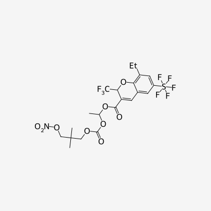 CCc1cc(S(F)(F)(F)(F)F)cc2c1OC(C(F)(F)F)C(C(=O)OC(C)OC(=O)OCC(C)(C)CO[N+](=O)[O-])=C2